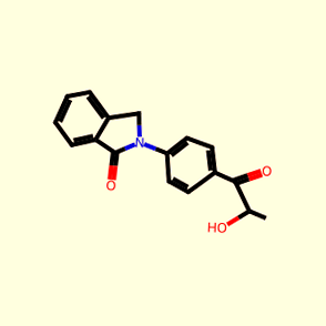 CC(O)C(=O)c1ccc(N2Cc3ccccc3C2=O)cc1